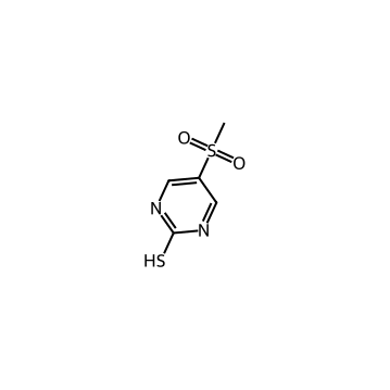 CS(=O)(=O)c1cnc(S)nc1